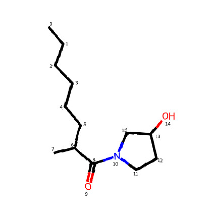 CCCCCCC(C)C(=O)N1CCC(O)C1